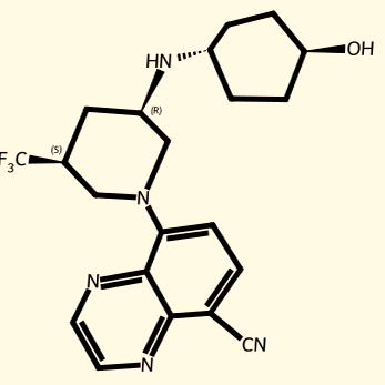 N#Cc1ccc(N2C[C@H](N[C@H]3CC[C@H](O)CC3)C[C@H](C(F)(F)F)C2)c2nccnc12